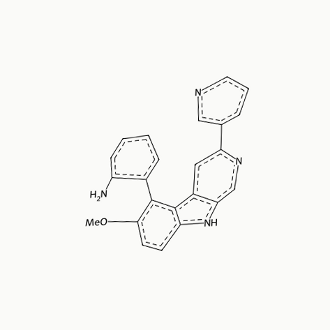 COc1ccc2[nH]c3cnc(-c4cccnc4)cc3c2c1-c1ccccc1N